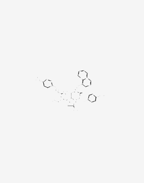 CCCN(C(=O)NCc1ccc(OC)cc1)N1CC(=O)N2[C@@H](Cc3ccc(O)cc3)C(=O)N(Cc3cccc4ccccc34)C[C@@H]21